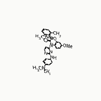 COc1ccc(N(C(=O)Oc2c(C)cccc2C)c2ccnc(Nc3ccc(N(C)C)cc3)n2)c(OC)c1